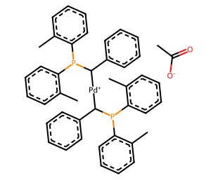 CC(=O)[O-].Cc1ccccc1P(c1ccccc1C)[CH]([Pd+][CH](c1ccccc1)P(c1ccccc1C)c1ccccc1C)c1ccccc1